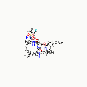 CC[C@@H]1C[C@H](C)CCC=C[C@@H]2C[C@@]2(C(=O)NS(=O)(=O)C2(CF)CC2)NC(=O)[C@@H]2C[C@@H](Oc3nc(OC)cc4cc(OC)ccc34)CN2C(=O)[C@H]1NC(=O)O